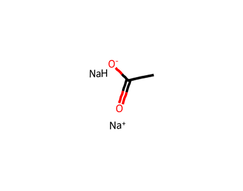 CC(=O)[O-].[Na+].[NaH]